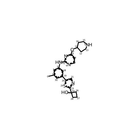 Cc1cc(Nc2nccc(OC3CCNCC3)n2)cc(-c2cnc(C3(O)CCC3)s2)c1